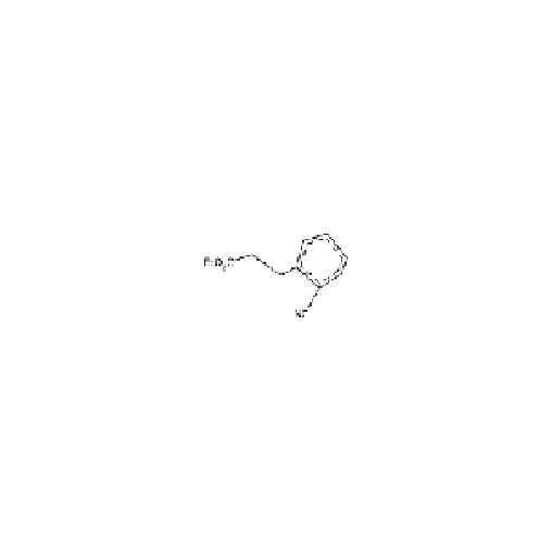 CCOC(=O)CCc1ccccc1C#N